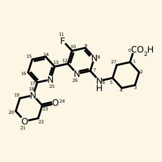 O=C(O)C1CCCC(Nc2ncc(F)c(-c3cccc(N4CCOCC4=O)n3)n2)C1